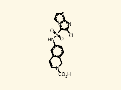 O=C(O)N1C=Cc2cc(NS(=O)(=O)c3c(Cl)nc4sccn34)ccc2C1